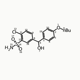 CCCCOc1ccc(C(O)c2ccc(Cl)c(S(N)(=O)=O)c2)cc1